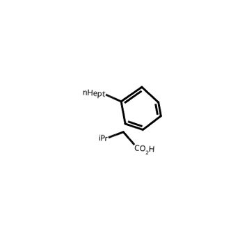 CC(C)CC(=O)O.CCCCCCCc1ccccc1